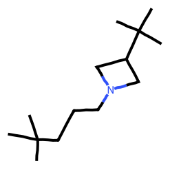 CC(C)(C)CCCN1CC(C(C)(C)C)C1